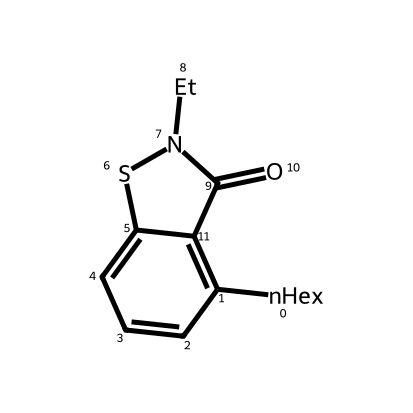 CCCCCCc1cccc2sn(CC)c(=O)c12